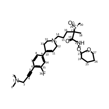 CN(C)CC#Cc1ccc(C2=CCN(CCCC(C)(C(=O)NOC3CCCCO3)[S+](C)[O-])CC2)cc1F